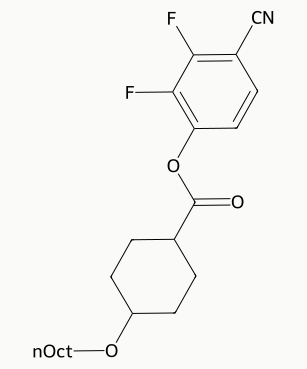 CCCCCCCCOC1CCC(C(=O)Oc2ccc(C#N)c(F)c2F)CC1